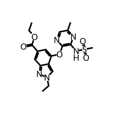 CCOC(=O)c1cc(Oc2ncc(C)nc2NS(C)(=O)=O)c2cn(CC)nc2c1